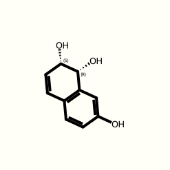 Oc1ccc2c(c1)[C@@H](O)[C@@H](O)C=C2